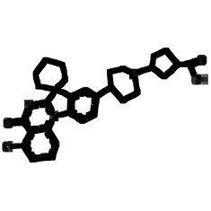 O=C(O)C1CCC(N2CCC(c3ccc4c(c3)C3(CCCCC3)c3nc(=O)c5c(Cl)cccc5n3-4)CC2)C1